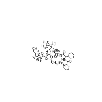 C=CCC1(S(=O)(=O)NC(=O)[C@@]2(NC(=O)[C@@H]3C[C@@]4(CN3C(=O)[C@@H](NC(=O)[C@@H](NC(=O)[C@@H]3CCCCN3C(C)C)C3CCCCC3)C(C)(C)C)C(C)(C)C43CCC3)C[C@H]2C=C)CC1